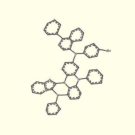 CC(C)(C)c1ccc(N(c2ccc3c(c2)N(c2ccccc2)c2cccc4c2B3c2nc3ccccn3c2N4c2ccccc2)c2ccc(-c3ccccc3)c3ccccc23)cc1